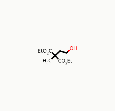 CCOC(=O)C(C)(CCO)C(=O)OCC